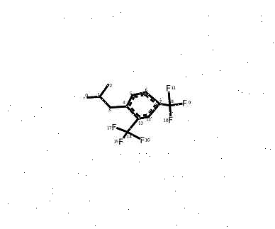 [CH2]C(C)Cc1ccc(C(F)(F)F)cc1C(F)(F)F